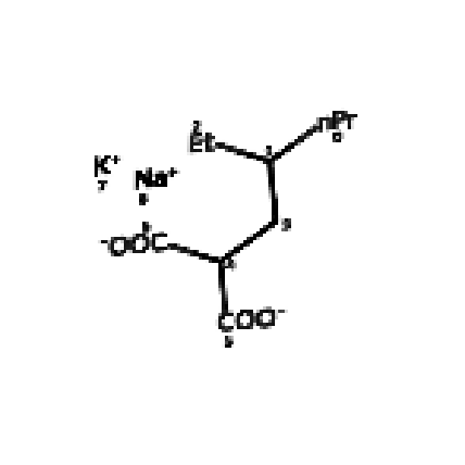 CCCC(CC)CC(C(=O)[O-])C(=O)[O-].[K+].[Na+]